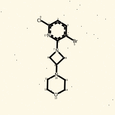 Clc1ccc(Br)c(N2CC(N3CCOCC3)C2)n1